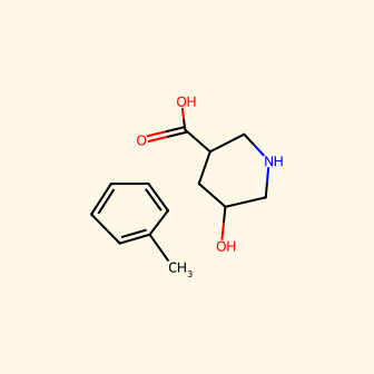 Cc1ccccc1.O=C(O)C1CNCC(O)C1